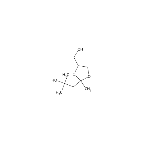 CC(C)(O)CC1(C)OCC(CO)O1